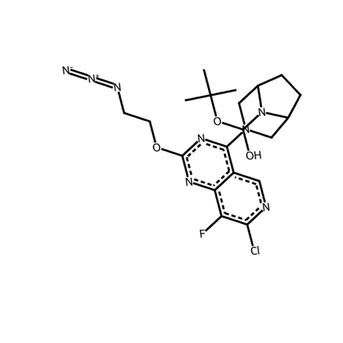 CC(C)(C)OC(O)N1C2CCC1CN(c1nc(OCCN=[N+]=[N-])nc3c(F)c(Cl)ncc13)C2